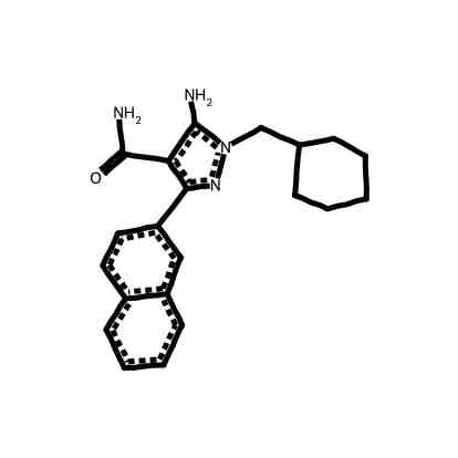 NC(=O)c1c(-c2ccc3ccccc3c2)nn(CC2CCCCC2)c1N